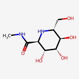 CNC(=O)[C@H]1N[C@H](CO)[C@@H](O)[C@H](O)[C@@H]1O